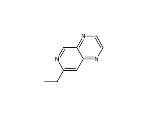 CCc1cc2nccnc2cn1